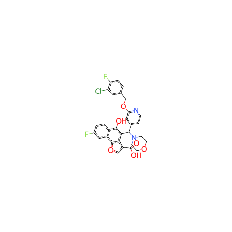 O=C(O)c1coc2c1c(C(c1ccnc(OCc3ccc(F)c(Cl)c3)c1)N1CCOCC1)c(O)c1ccc(F)cc12